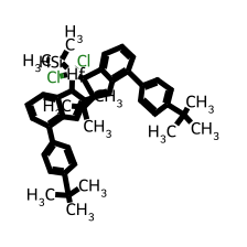 CC1=Cc2c(-c3ccc(C(C)(C)C)cc3)cccc2[CH]1[Hf]([Cl])([Cl])([CH]1C(C(C)C)=Cc2c(-c3ccc(C(C)(C)C)cc3)cccc21)[SiH](C)C